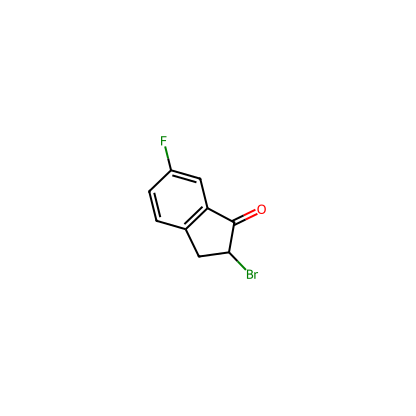 O=C1c2cc(F)ccc2CC1Br